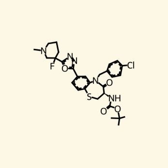 CN1CCCC(F)(c2nnc(-c3ccc4c(c3)N(Cc3ccc(Cl)cc3)C(=O)[C@@H](NC(=O)OC(C)(C)C)CS4)o2)C1